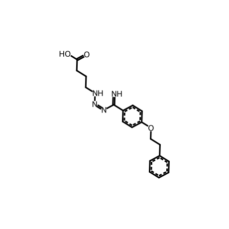 N=C(/N=N\NCCCC(=O)O)c1ccc(OCCc2ccccc2)cc1